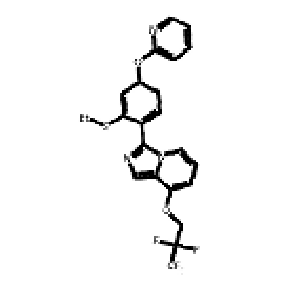 CCSC1=CC(Oc2ccccn2)CC=C1c1ncc2c(OCC(F)(F)C(F)(F)F)cccn12